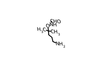 CC(C)(CCCN)ONC=O